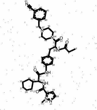 CCC(=O)NC(Cc1ccc(NC(=O)C(NC(=O)c2ccnn2C)C2CCCCC2)cc1)C(=O)N1CCN(Cc2cccc(C#N)c2)CC1